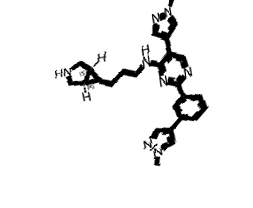 Cn1cc(-c2cccc(-c3ncc(-c4cnn(C)c4)c(NCCCC4[C@H]5CNC[C@@H]45)n3)c2)cn1